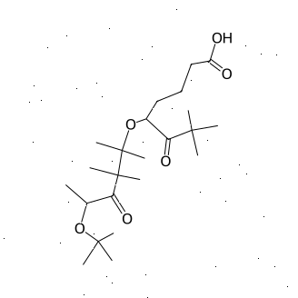 CC(OC(C)(C)C)C(=O)C(C)(C)C(C)(C)OC(CCCC(=O)O)C(=O)C(C)(C)C